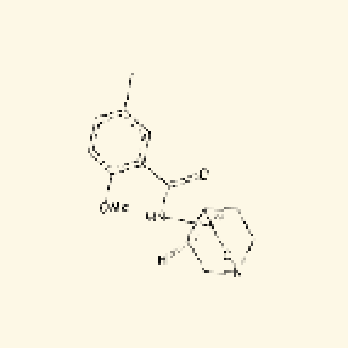 COc1ccc(C)cc1C(=O)N[C@@H]1CN2CCC1CC2